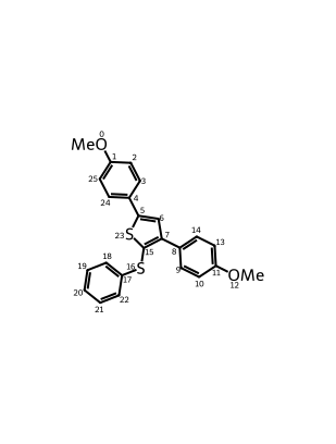 COc1ccc(-c2cc(-c3ccc(OC)cc3)c(Sc3ccccc3)s2)cc1